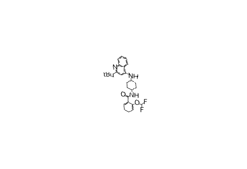 CC(C)(C)c1cc(NC2CCC(NC(=O)C3=CCCC=C3OC(F)F)CC2)c2ccccc2n1